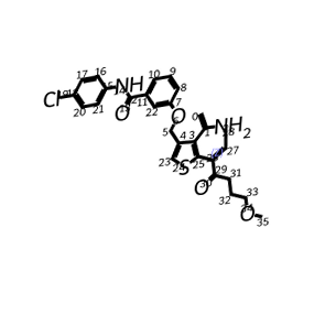 C=C(N)c1c(COc2cccc(C(=O)Nc3ccc(Cl)cc3)c2)csc1/C(=C\C)C(=O)CCCOC